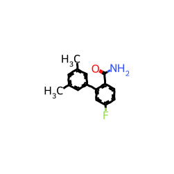 Cc1cc(C)cc(-c2cc(F)ccc2C(N)=O)c1